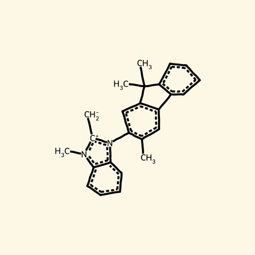 [CH2-][c+]1n(C)c2ccccc2n1-c1cc2c(cc1C)-c1ccccc1C2(C)C